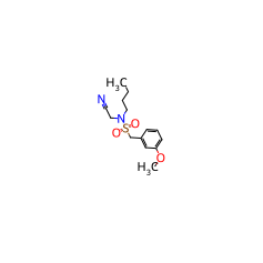 CCCCN(CC#N)S(=O)(=O)Cc1cccc(OC)c1